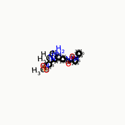 C=Nn1c(C2CCN(S(C)(=O)=O)CC2)cc(-c2ccc(NC(=O)c3cccn(-c4ccccc4)c3=O)cc2)c1/C(N)=N\C